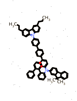 CCCc1ccc2c(c1)c1cc(CCC)ccc1n2-c1ccc(-c2ccc(-c3ccc(N(c4ccc5c(c4)C(C)(C)c4ccccc4-5)c4ccccc4-c4ccccc4-c4ccccc4)cc3)cc2)cc1